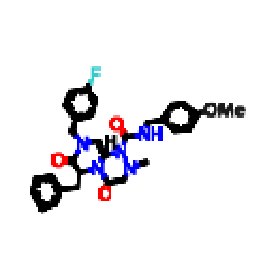 COc1ccc(CNC(=O)N2[C@H]3CN(Cc4ccc(F)cc4)C(=O)[C@H](Cc4ccccc4)N3C(=O)CN2C)cc1